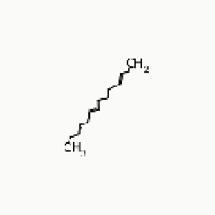 [CH2]CC=CCCCC=CCC=CCC